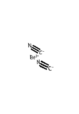 [Be+2].[C-]#N.[C-]#N